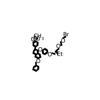 CCN(CCOCCOCCBr)CCOc1ccc(Oc2c(-c3ccc(S(C)(=O)=O)cc3)ccc3cc(OCc4ccccc4)ccc23)cc1